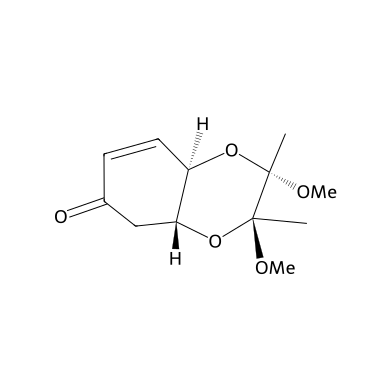 CO[C@@]1(C)O[C@@H]2C=CC(=O)C[C@H]2O[C@]1(C)OC